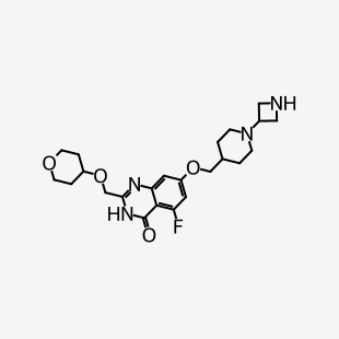 O=c1[nH]c(COC2CCOCC2)nc2cc(OCC3CCN(C4CNC4)CC3)cc(F)c12